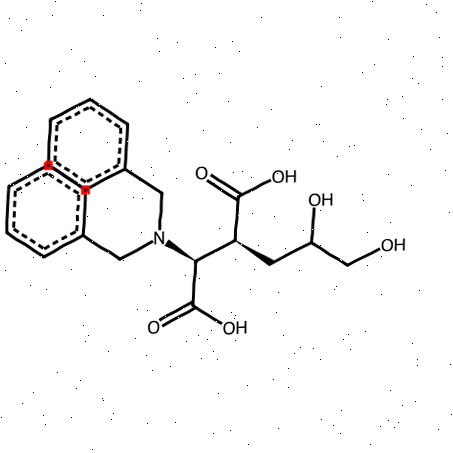 O=C(O)[C@@H](CC(O)CO)[C@@H](C(=O)O)N(Cc1ccccc1)Cc1ccccc1